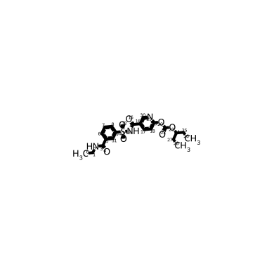 CCNC(=O)c1cccc(S(=O)(=O)NC(=O)c2ccc(OC(=O)OC(CC)CC)nc2)c1